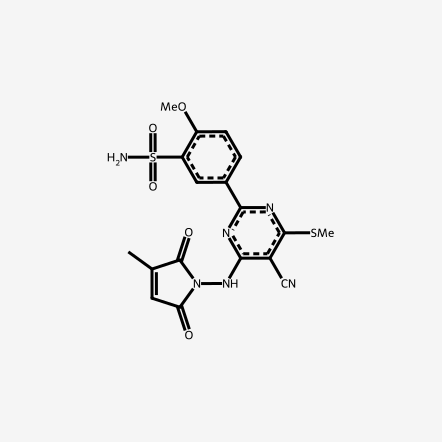 COc1ccc(-c2nc(NN3C(=O)C=C(C)C3=O)c(C#N)c(SC)n2)cc1S(N)(=O)=O